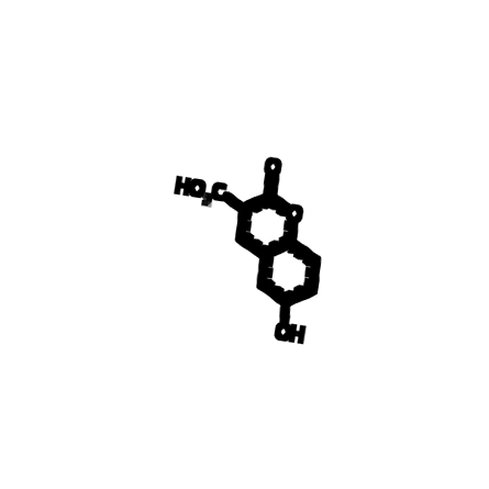 O=C(O)c1cc2cc(O)ccc2oc1=O